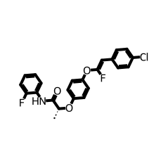 C[C@@H](Oc1ccc(OC(F)=Cc2ccc(Cl)cc2)cc1)C(=O)Nc1ccccc1F